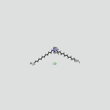 CCCCCCCCCCCC[N+](C)(C)CCCCCCCCCCCC.[Cl-]